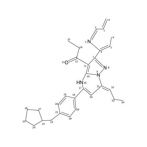 C=C/C=N\C(=C/C)c1nn2c(c1C(=O)CC)NC(c1ccc(CC3CCCC3)cc1)=C/C2=C\CC